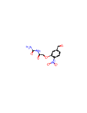 NC(=O)NC(=O)COc1cc(C=O)ccc1[N+](=O)[O-]